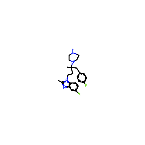 Cc1nc2cc(F)ccc2n1CCC(C)(Cc1ccc(F)cc1)N1CCNCC1